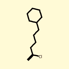 C=C(Cl)CCCC[C]1CCCCC1